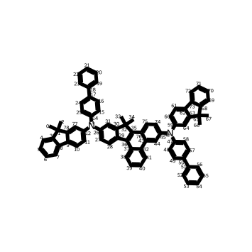 CC1(C)c2ccccc2-c2ccc(N(c3ccc(-c4ccccc4)cc3)c3ccc4c(c3)C(C)(C)c3c-4c4ccccc4c4cc(N(c5ccc(-c6ccccc6)cc5)c5ccc6c(c5)C(C)(C)c5ccccc5-6)ccc34)cc21